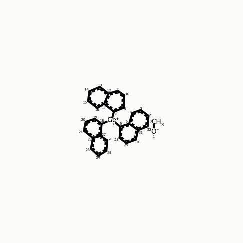 C[O-].c1ccc2[c]([Ge+]([c]3cccc4ccccc34)[c]3cccc4ccccc34)cccc2c1